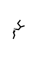 CC/C=N\CC(C)CC